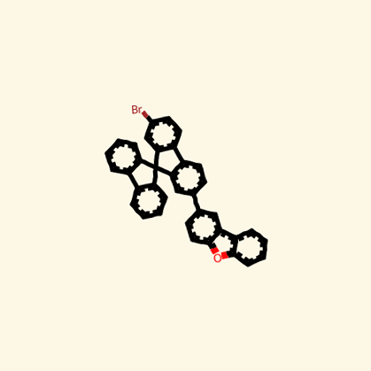 Brc1ccc2c(c1)C1(c3ccccc3-c3ccccc31)c1cc(-c3ccc4oc5ccccc5c4c3)ccc1-2